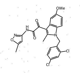 COc1ccc2c(c1)c(C(=O)C(=O)Nc1cc(C)on1)c(C)n2Cc1ccc(Cl)cc1Cl